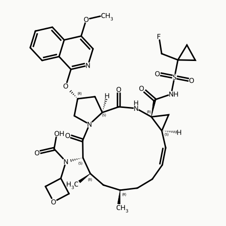 COc1cnc(O[C@@H]2C[C@H]3C(=O)N[C@]4(C(=O)NS(=O)(=O)C5(CF)CC5)C[C@H]4C=CCC[C@@H](C)C[C@@H](C)[C@H](N(C(=O)O)C4COC4)C(=O)N3C2)c2ccccc12